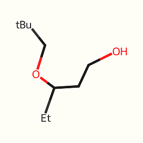 CCC(CCO)OCC(C)(C)C